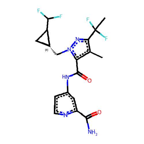 Cc1c(C(C)(F)F)nn(C[C@@H]2CC2C(F)F)c1C(=O)Nc1ccnc(C(N)=O)c1